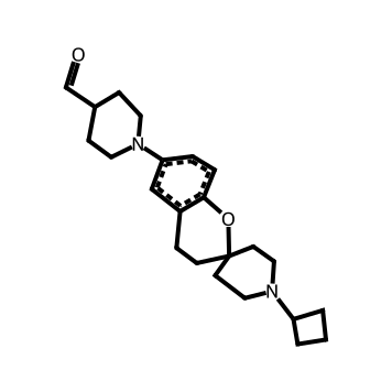 O=CC1CCN(c2ccc3c(c2)CCC2(CCN(C4CCC4)CC2)O3)CC1